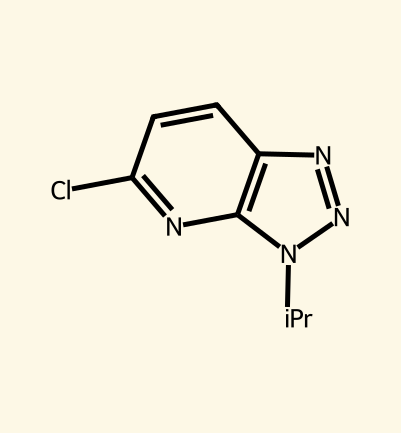 CC(C)n1nnc2ccc(Cl)nc21